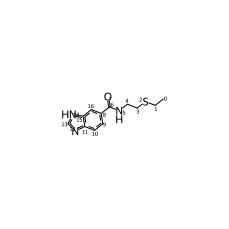 CCSCCNC(=O)c1ccc2nc[nH]c2c1